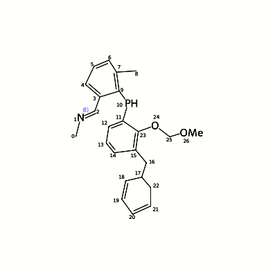 C/N=C/c1cccc(C)c1Pc1cccc(CC2C=CC=CC2)c1OCOC